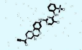 C#CC(=O)N1CCN2c3ccc(Nc4ncc(Cl)c(Nc5ccccc5P(C)(C)=O)n4)cc3OC[C@H]2C1